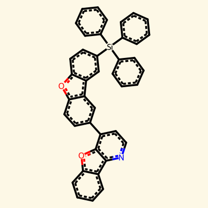 c1ccc([Si](c2ccccc2)(c2ccccc2)c2ccc3oc4ccc(-c5ccnc6c5oc5ccccc56)cc4c3c2)cc1